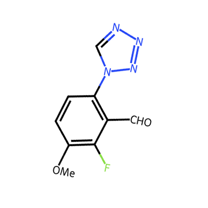 COc1ccc(-n2cnnn2)c(C=O)c1F